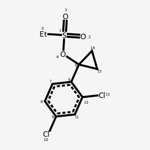 CCS(=O)(=O)OC1(c2ccc(Cl)cc2Cl)CC1